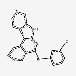 Clc1cccc(Nc2nc3[nH]c4cnccc4c3c3ccncc23)c1